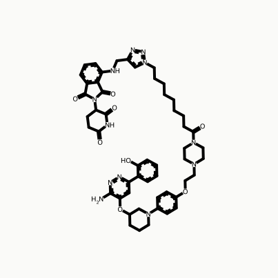 Nc1nnc(-c2ccccc2O)cc1OC1CCCN(c2ccc(OCCN3CCN(C(=O)CCCCCCCCn4cc(CNc5cccc6c5C(=O)N(C5CCC(=O)NC5=O)C6=O)nn4)CC3)cc2)C1